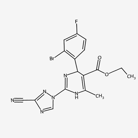 CCOC(=O)C1=C(C)NC(n2cnc(C#N)n2)=NC1c1ccc(F)cc1Br